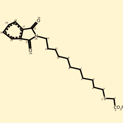 O=C(O)CSCCCCCCCCCCCN1C(=O)c2ccccc2C1=O